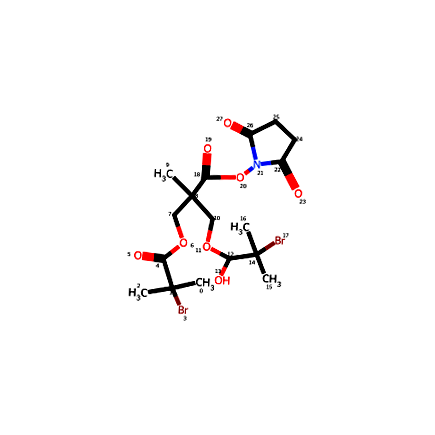 CC(C)(Br)C(=O)OCC(C)(COC(O)C(C)(C)Br)C(=O)ON1C(=O)CCC1=O